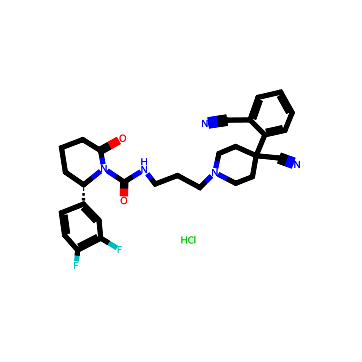 Cl.N#Cc1ccccc1C1(C#N)CCN(CCCNC(=O)N2C(=O)CCC[C@H]2c2ccc(F)c(F)c2)CC1